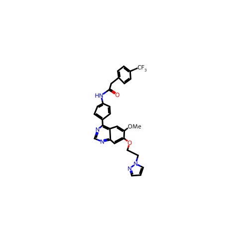 COc1cc2c(-c3ccc(NC(=O)Cc4ccc(C(F)(F)F)cc4)cc3)ncnc2cc1OCCn1cccn1